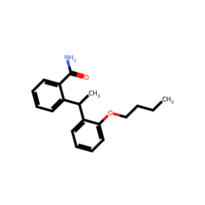 CCCCOc1ccccc1C(C)c1ccccc1C(N)=O